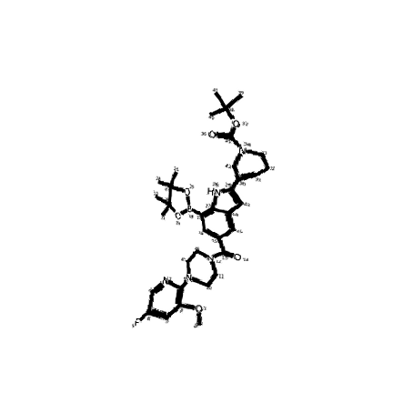 COc1cc(F)cnc1N1CCN(C(=O)c2cc(B3OC(C)(C)C(C)(C)O3)c3[nH]c(C4=CCCN(C(=O)OC(C)(C)C)C4)cc3c2)CC1